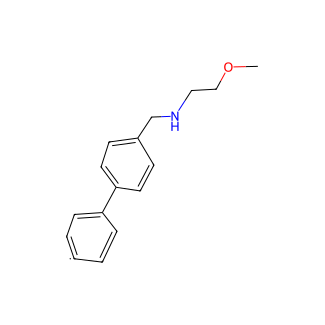 COCCNCc1ccc(-c2cc[c]cc2)cc1